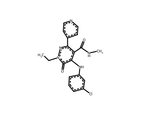 CCn1nc(-c2ccncc2)c(C(=O)NC)c(Nc2cccc(Cl)c2)c1=O